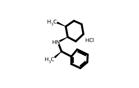 C[C@@H](N[C@@H]1CCCC[C@@H]1C)c1ccccc1.Cl